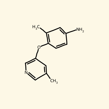 Cc1cncc(Oc2ccc(N)cc2C)c1